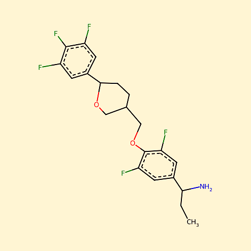 CCC(N)c1cc(F)c(OCC2CCC(c3cc(F)c(F)c(F)c3)OC2)c(F)c1